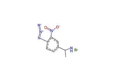 CC(NBr)c1ccc(N=[N+]=[N-])c([N+](=O)[O-])c1